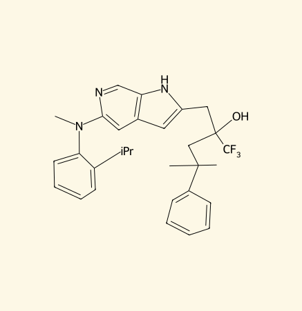 CC(C)c1ccccc1N(C)c1cc2cc(CC(O)(CC(C)(C)c3ccccc3)C(F)(F)F)[nH]c2cn1